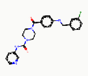 O=C(Nc1cccnc1)N1CCN(C(=O)c2ccc(NCc3cccc(F)c3)cc2)CC1